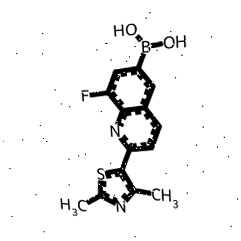 Cc1nc(C)c(-c2ccc3cc(B(O)O)cc(F)c3n2)s1